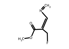 C=N/C=C(/CF)C(=O)OC